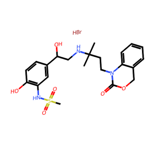 Br.CC(C)(CCN1C(=O)OCc2ccccc21)NCC(O)c1ccc(O)c(NS(C)(=O)=O)c1